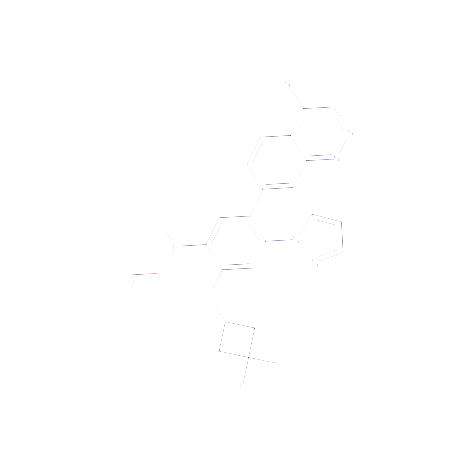 Nc1cnnc2cc(-c3cc(B(O)OC=O)c(OC4CC(F)(F)C4)cc3-n3cccn3)ccc12